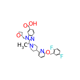 C[C@@H](c1nc2ccc(C(=O)O)cc2n1C[C@@H]1CCO1)N1CCC(c2cccc(OCc3cc(F)ccc3F)n2)CC1